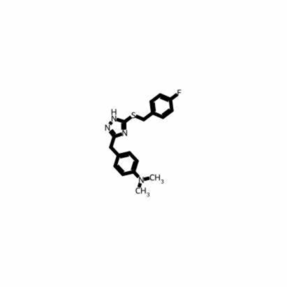 CN(C)c1ccc(Cc2n[nH]c(SCc3ccc(F)cc3)n2)cc1